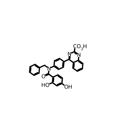 O=C(O)c1nc(-c2ccc(N(Cc3ccccc3)C(=O)c3ccc(O)cc3O)cc2)c2ccccc2n1